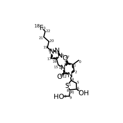 Cc1cn(C2CC(O)[C@@H](CO)S2)c(=O)n(Cc2cn(CCCC[18F])nn2)c1=O